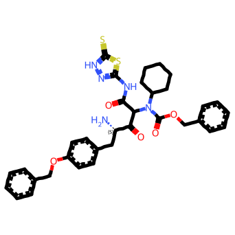 N[C@@H](Cc1ccc(OCc2ccccc2)cc1)C(=O)C(C(=O)Nc1n[nH]c(=S)s1)N(C(=O)OCc1ccccc1)C1CCCCC1